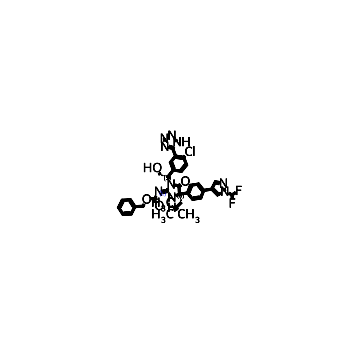 CC(C)(C)C[C@]1(c2ccc(-c3cnn(C(F)F)c3)cc2)N/C(=N\C(=O)OCc2ccccc2)N([C@H](CO)c2ccc(Cl)c(-c3nnn[nH]3)c2)C1=O